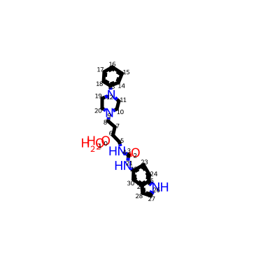 O.O.O=C(NCCCCN1CCN(c2ccccc2)CC1)Nc1ccc2[nH]ccc2c1